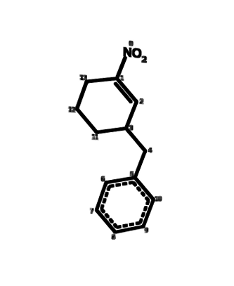 O=[N+]([O-])C1=CC(Cc2ccccc2)CCC1